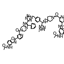 CC(=O)Nc1ccc2oc(-c3ccnc(C(=O)N4CCn5c(nc(-c6nnn(Cc7ccc(C(c8nnn(C)n8)N8CC9(CCN(C%10OC%10c%10cc(-c%11nc%12cc(NC(C)=O)ccc%12o%11)ccn%10)CC9)C8)cc7)n6)c5-c5ccccc5)C4)c3)nc2c1